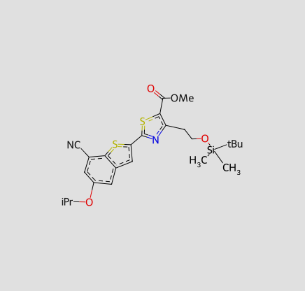 COC(=O)c1sc(-c2cc3cc(OC(C)C)cc(C#N)c3s2)nc1CCO[Si](C)(C)C(C)(C)C